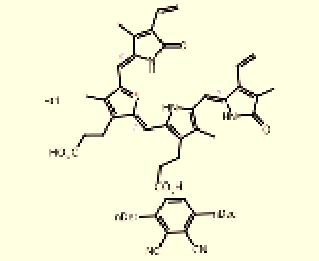 C=CC1=C(C)/C(=C/C2=NC(=C\c3[nH]c(/C=C4\NC(=O)C(C)=C4C=C)c(C)c3CCC(=O)O)/C(CCC(=O)O)=C2C)NC1=O.CCCCCCCCCCc1ccc(CCCCCCCCCC)c(C#N)c1C#N.Cl